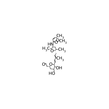 COC(C)/C=C\C(=O)NC1CC(C)[C@H](C/C=C(C)/C=C/C2O[C@H](CC=O)CC(CO)[C@@H]2O)OC1C